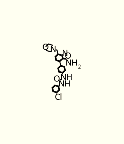 Nc1onc2c(CN3CCOCC3)ccc(-c3ccc(NC(=O)Nc4cccc(Cl)c4)cc3)c12